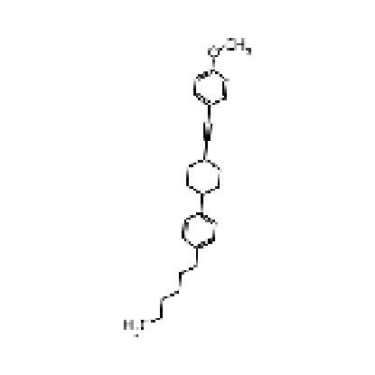 CCCCCCc1ccc(C2CCC(C#Cc3ccc(OC)cc3)CC2)cc1